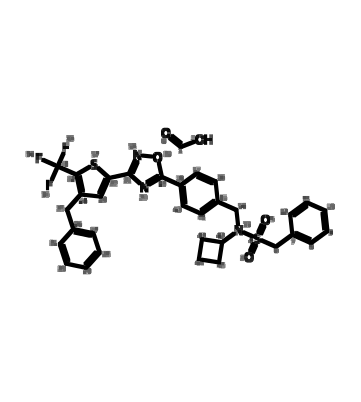 O=CO.O=S(=O)(Cc1ccccc1)N(Cc1ccc(-c2nc(-c3cc(Cc4ccccc4)c(C(F)(F)F)s3)no2)cc1)C1CCC1